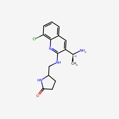 C[C@H](N)c1cc2cccc(Cl)c2nc1NCC1CCC(=O)N1